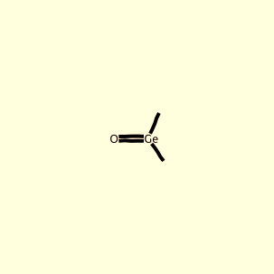 [CH3][Ge]([CH3])=[O]